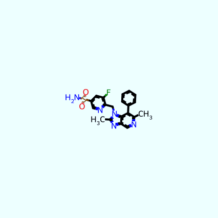 Cc1ncc2nc(C)n(Cc3ncc(S(N)(=O)=O)cc3F)c2c1-c1ccccc1